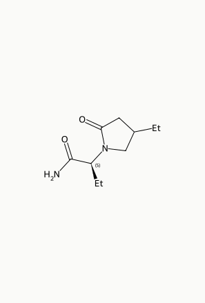 CCC1CC(=O)N([C@@H](CC)C(N)=O)C1